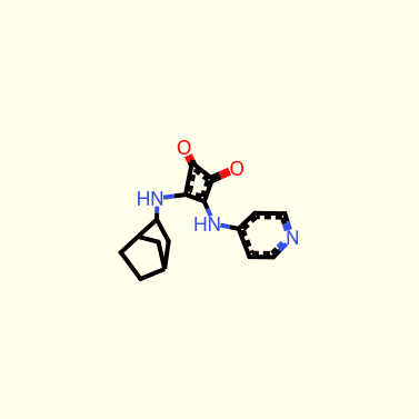 O=c1c(Nc2ccncc2)c(NC2CC3CCC2C3)c1=O